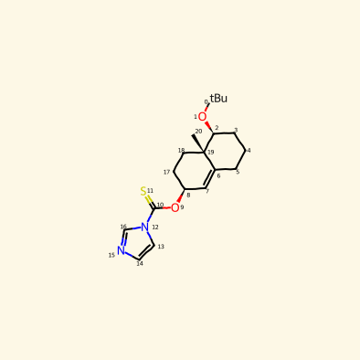 CC(C)(C)O[C@H]1CCCC2=C[C@@H](OC(=S)n3ccnc3)CC[C@@]21C